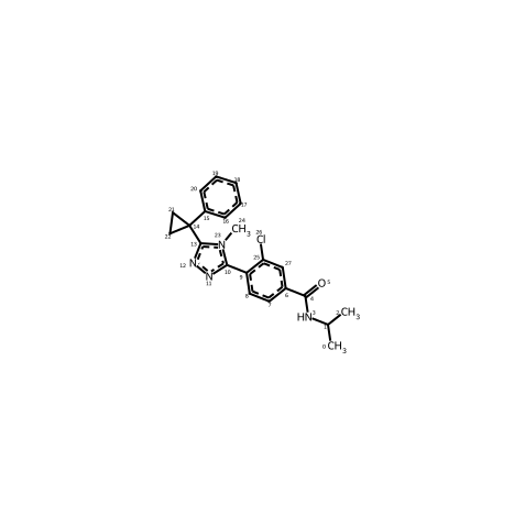 CC(C)NC(=O)c1ccc(-c2nnc(C3(c4ccccc4)CC3)n2C)c(Cl)c1